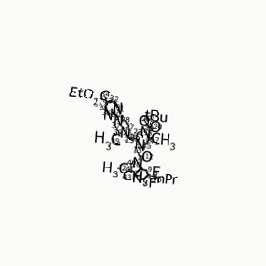 CCCC(F)(F)c1cnc2c(c1)N(C(=O)CN1C[C@@H](C)N(C(=O)OC(C)(C)C)C[C@@H]1CN1CCN(c3ncc(C(=O)OCC)cn3)CC1C)CC2(C)C